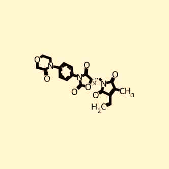 C=CC1=C(C)C(=O)N(C[C@@H]2OC(=O)N(c3ccc(N4CCOCC4=O)cc3)C2=O)C1=O